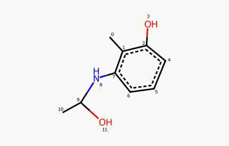 Cc1c(O)cccc1NC(C)O